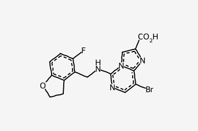 O=C(O)c1cn2c(NCc3c(F)ccc4c3CCO4)ncc(Br)c2n1